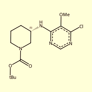 COc1c(Cl)ncnc1N[C@H]1CCCN(C(=O)OC(C)(C)C)C1